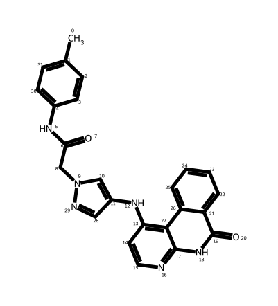 Cc1ccc(NC(=O)Cn2cc(Nc3ccnc4[nH]c(=O)c5ccccc5c34)cn2)cc1